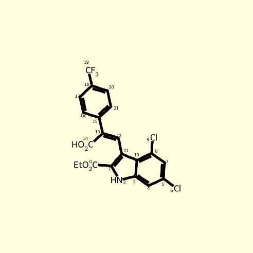 CCOC(=O)c1[nH]c2cc(Cl)cc(Cl)c2c1C=C(C(=O)O)c1ccc(C(F)(F)F)cc1